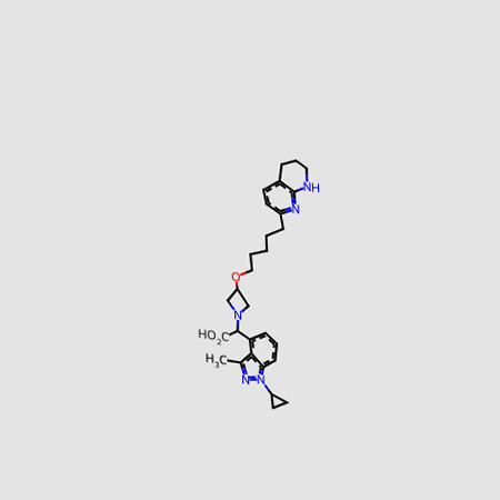 Cc1nn(C2CC2)c2cccc(C(C(=O)O)N3CC(OCCCCCc4ccc5c(n4)NCCC5)C3)c12